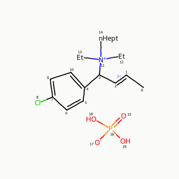 C/C=C/C(c1ccc(Cl)cc1)[N+](CC)(CC)CCCCCCC.O=P([O-])(O)O